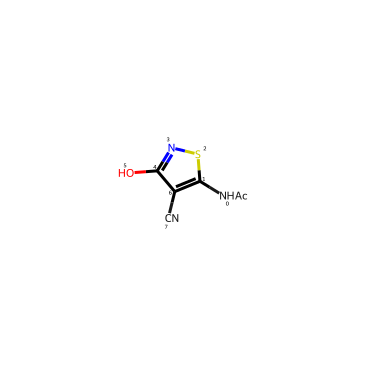 CC(=O)Nc1snc(O)c1C#N